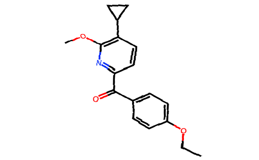 CCOc1ccc(C(=O)c2ccc(C3CC3)c(OC)n2)cc1